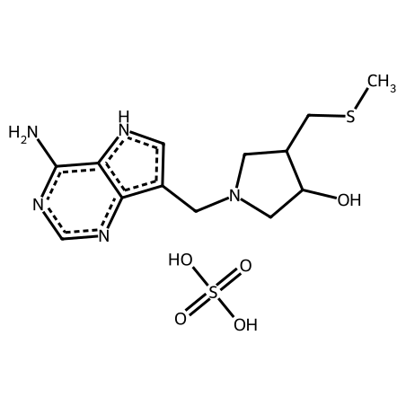 CSCC1CN(Cc2c[nH]c3c(N)ncnc23)CC1O.O=S(=O)(O)O